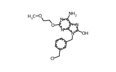 COCCOc1nc(N)c2nc(O)n(Cc3cccc(CCl)c3)c2n1